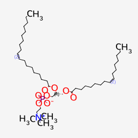 CCCCCCC/C=C\CCCCCCCC(=O)OC[C@H](COP(=O)([O-])OCC[N+](C)(C)C)OC(=O)CCCCCCC/C=C\CCCCCCCCC